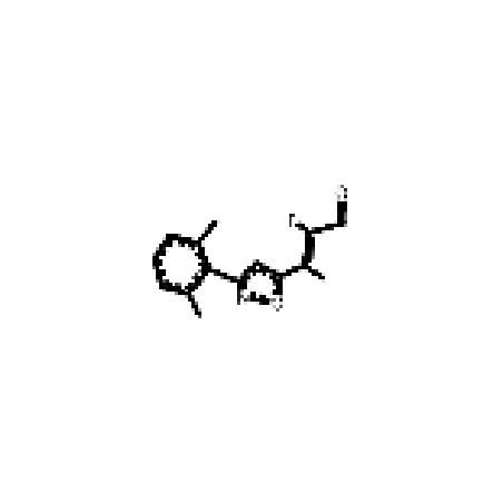 CC(=C(F)C=O)c1cc(-c2c(C)cccc2C)no1